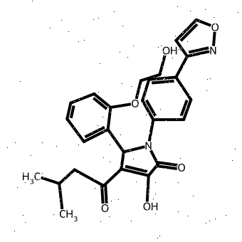 CC(C)CC(=O)C1=C(O)C(=O)N(c2ccc(-c3ccon3)cc2)C1c1ccccc1OCCO